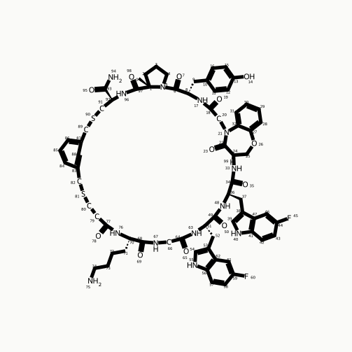 C[C@@]12CCCN1C(=O)[C@H](Cc1ccc(O)cc1)NC(=O)CN1C(=O)[C@H](COc3ccccc31)NC(=O)[C@@H](Cc1c[nH]c3ccc(F)cc13)NC(=O)[C@H](Cc1c[nH]c3ccc(F)cc13)NC(=O)CNC(=O)[C@H](CCCCN)NC(=O)CCSCc1cccc(c1)CSC[C@@H](C(N)=O)NC2=O